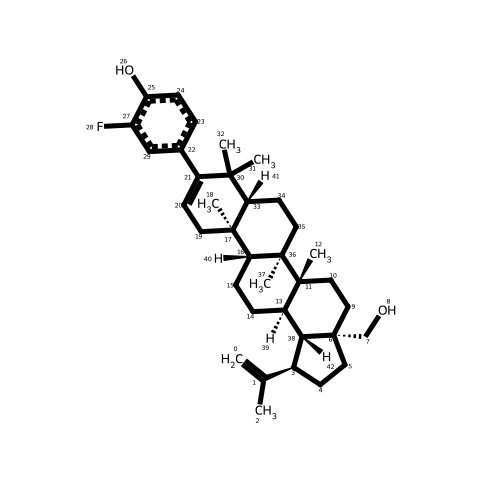 C=C(C)[C@@H]1CC[C@]2(CO)CC[C@]3(C)[C@H](CC[C@@H]4[C@@]5(C)CC=C(c6ccc(O)c(F)c6)C(C)(C)[C@@H]5CC[C@]43C)[C@@H]12